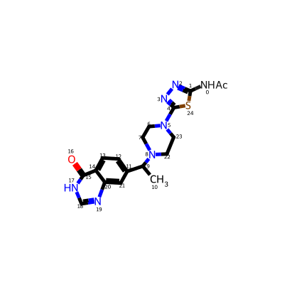 CC(=O)Nc1nnc(N2CCN(C(C)c3ccc4c(=O)[nH]cnc4c3)CC2)s1